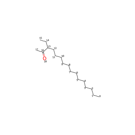 CCCCCCCCCCCCCC(CC)C(C)=O